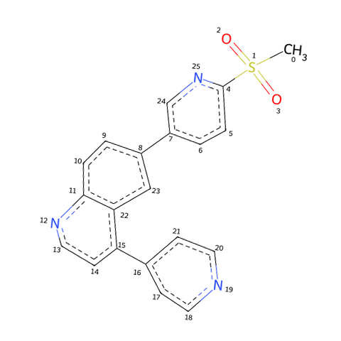 CS(=O)(=O)c1ccc(-c2ccc3nccc(-c4ccncc4)c3c2)cn1